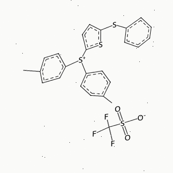 Cc1ccc([S+](c2ccc(C)cc2)c2ccc(Sc3ccccc3)s2)cc1.O=S(=O)([O-])C(F)(F)F